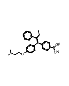 CCC(=C(c1ccc(OCCN(C)C)cc1)c1ccc(B(O)O)cc1)c1ccccc1